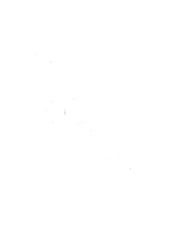 O=C(NC1=C(c2ccc(-c3ccc(C4(C(=O)O)CC4)cc3)cc2)C(=O)N=N1)OCc1ccccc1